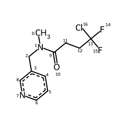 CN(Cc1cccnc1)C(=O)CCC(F)(F)Cl